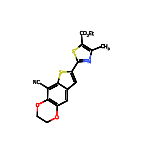 CCOC(=O)c1sc(-c2cc3cc4c(c(C#N)c3s2)OCCO4)nc1C